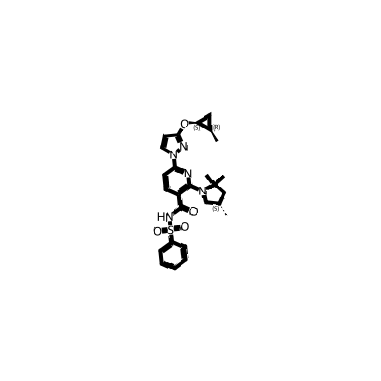 C[C@@H]1CN(c2nc(-n3ccc(O[C@H]4C[C@H]4C)n3)ccc2C(=O)NS(=O)(=O)c2ccccc2)C(C)(C)C1